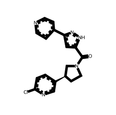 O=C(c1cc(-c2ccncc2)n[nH]1)N1CC[C@@H](c2ccc(Cl)nc2)C1